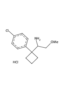 COCC(N)C1(c2ccc(Cl)cc2)CCC1.Cl